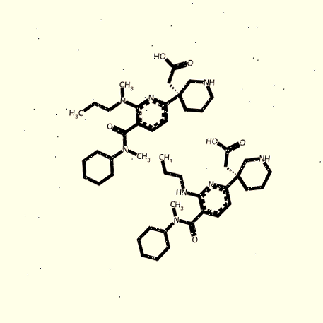 CCCN(C)c1nc([C@]2(CC(=O)O)CCCNC2)ccc1C(=O)N(C)C1CCCCC1.CCCNc1nc([C@]2(CC(=O)O)CCCNC2)ccc1C(=O)N(C)C1CCCCC1